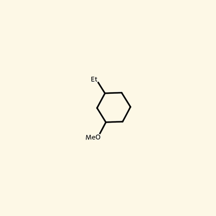 CCC1CCCC(OC)C1